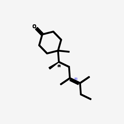 CC/C(C)=C(\C)C[C@@H](C)C1(C)CCC(=O)CC1